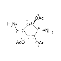 CC(=O)OC1[C@H](OC(C)=O)C(CN)O[C@@H](OC(C)=O)[C@H]1N